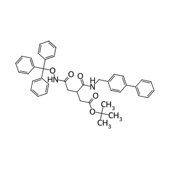 CC(C)(C)OC(=O)CC(CC(=O)NOC(c1ccccc1)(c1ccccc1)c1ccccc1)C(=O)NCc1ccc(-c2ccccc2)cc1